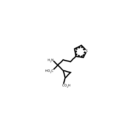 NC(CCc1ccsc1)(C(=O)O)C1CC1C(=O)O